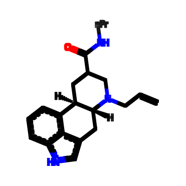 C=CCN1CC(C(=O)NCCC)C[C@@H]2c3cccc4[nH]cc(c34)C[C@H]21